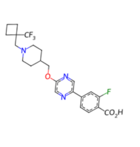 O=C(O)c1ccc(-c2cnc(OCC3CCN(CC4(C(F)(F)F)CCC4)CC3)cn2)cc1F